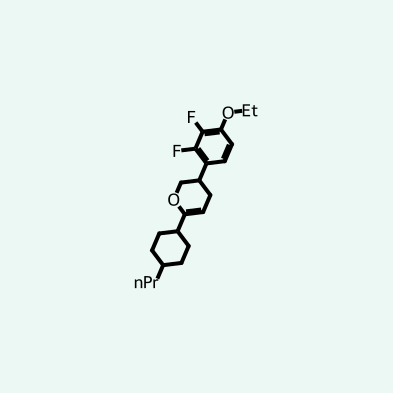 CCCC1CCC(C2=CCC(c3ccc(OCC)c(F)c3F)CO2)CC1